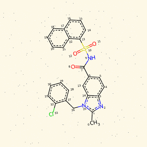 Cc1nc2ccc(C(=O)NS(=O)(=O)c3cccc4ccccc34)cc2n1Cc1ccccc1Cl